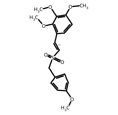 COc1ccc(CS(=O)(=O)/C=C/c2ccc(OC)c(OC)c2OC)cc1